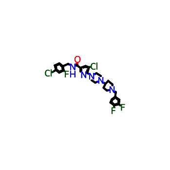 O=C(NCc1ccc(Cl)cc1F)c1cnc(N2CCN(C3CCN(Cc4ccc(F)c(F)c4)CC3)CC2)c(Cl)c1